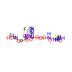 CCc1cnc(CCOc2ccc(CC3SC(=O)N(C(=O)C[C@@H](NC(=O)c4ccc(C5(C(F)(F)F)N=N5)cc4)C(=O)NCCCOCCOCCOCCCNC(=O)CCCC[C@@H]4SC[C@@H]5NC(=O)N[C@@H]54)C3=O)cc2)cc1O